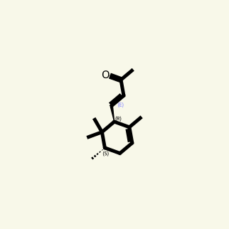 CC(=O)/C=C/[C@H]1C(C)=CC[C@H](C)C1(C)C